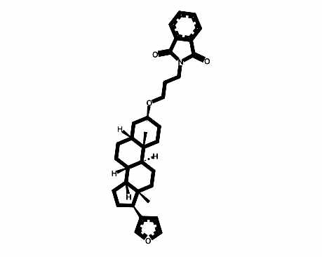 C[C@]12CC[C@H](OCCCN3C(=O)c4ccccc4C3=O)C[C@H]1CC[C@H]1[C@H]3CC[C@H](c4ccoc4)[C@@]3(C)CC[C@@H]12